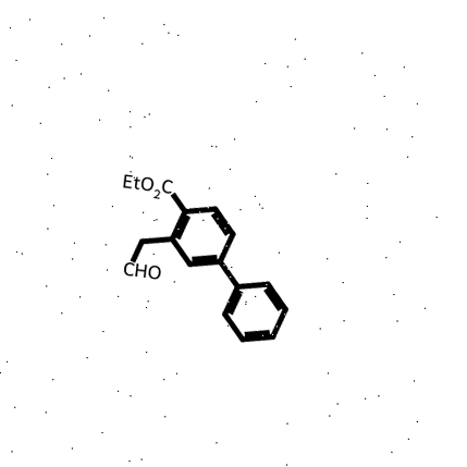 CCOC(=O)c1ccc(-c2ccccc2)cc1CC=O